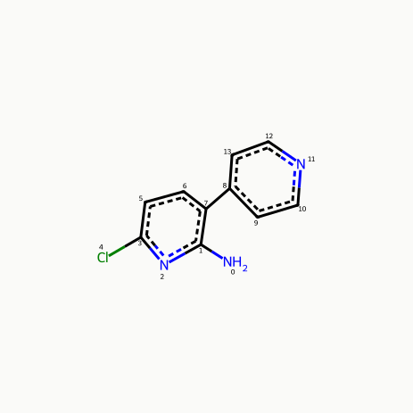 Nc1nc(Cl)ccc1-c1ccncc1